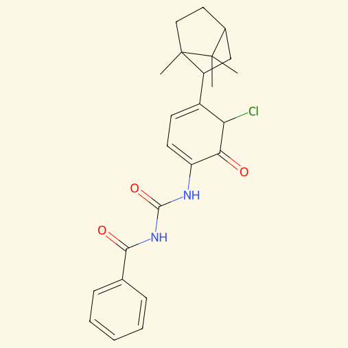 CC1(C)C2CCC1(C)C(C1=CC=C(NC(=O)NC(=O)c3ccccc3)C(=O)C1Cl)C2